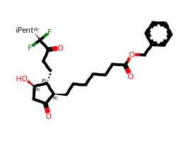 CCC[C@@H](C)C(F)(F)C(=O)CC[C@H]1[C@H](O)CC(=O)[C@@H]1CCCCCCC(=O)OCc1ccccc1